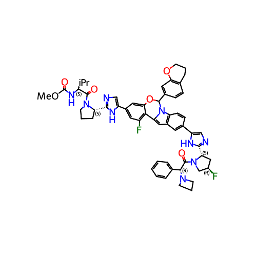 COC(=O)N[C@H](C(=O)N1CCC[C@H]1c1ncc(-c2cc(F)c3c(c2)OC(c2ccc4c(c2)OCCC4)n2c-3cc3cc(-c4cnc([C@@H]5C[C@@H](F)CN5C(=O)[C@@H](c5ccccc5)N5CCC5)[nH]4)ccc32)[nH]1)C(C)C